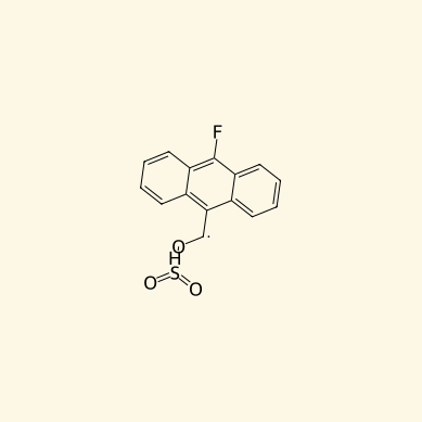 O=[SH](=O)O[CH]c1c2ccccc2c(F)c2ccccc12